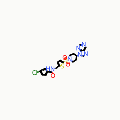 O=C(NCc1ccc(S(=O)(=O)N2CCC(n3cnc4cncnc43)CC2)s1)c1ccc(Cl)cc1